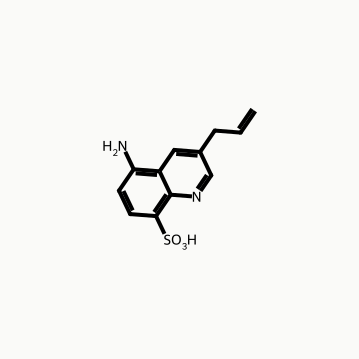 C=CCc1cnc2c(S(=O)(=O)O)ccc(N)c2c1